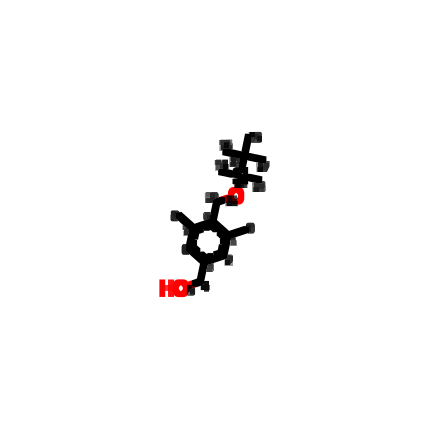 Cc1cc(CO)cc(C)c1CO[Si](C)(C)C(C)(C)C